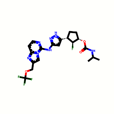 CC(C)NC(=O)O[C@H]1CC[C@@H](c2cc(Nc3nccc4nc(COC(F)(F)F)cn34)n[nH]2)[C@@H]1F